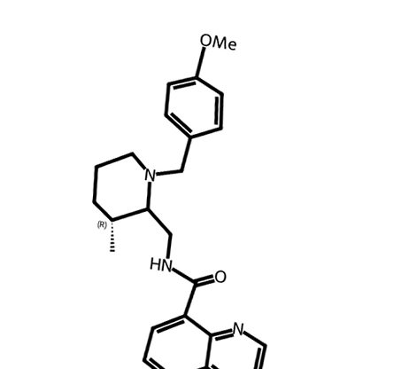 COc1ccc(CN2CCC[C@@H](C)C2CNC(=O)c2cccc3cccnc23)cc1